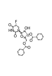 O=C(OC[C@H]1O[C@@H](n2cc(F)c(=O)[nH]c2=O)[C@H](O)[C@H]1OC(=O)c1ccccc1)c1ccccc1